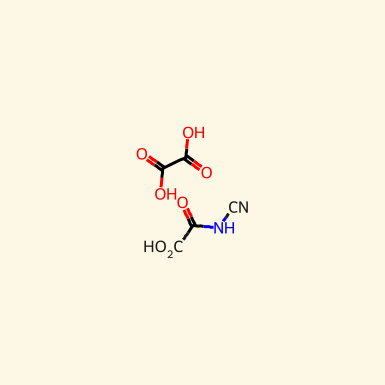 N#CNC(=O)C(=O)O.O=C(O)C(=O)O